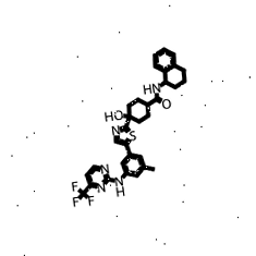 Cc1cc(Nc2nccc(C(F)(F)F)n2)cc(-c2cnc(C3(O)CCC(C(=O)NC4CCCc5ccccc54)CC3)s2)c1